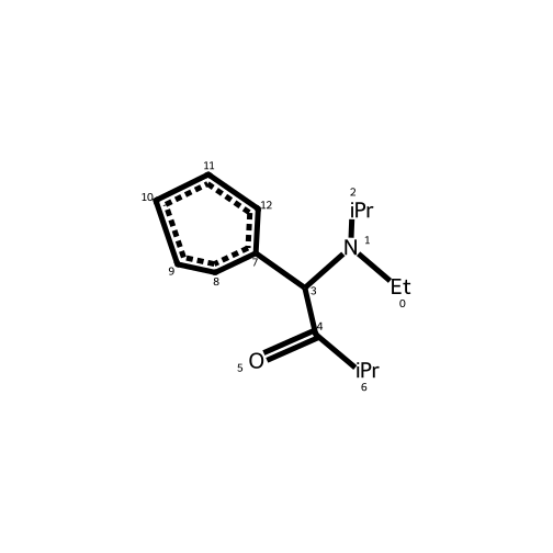 CCN(C(C)C)C(C(=O)C(C)C)c1ccccc1